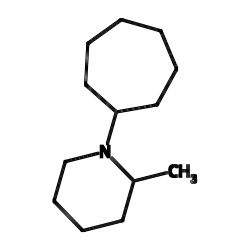 CC1CCCCN1C1CCCCCC1